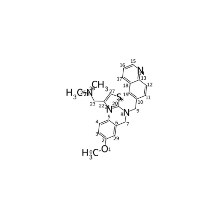 COc1cccc(CN(Cc2ccc3ncccc3c2)c2nc(CN(C)C)cs2)c1